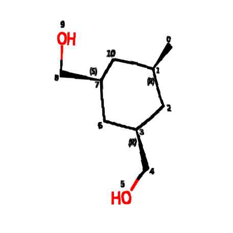 C[C@H]1C[C@@H](CO)C[C@@H](CO)C1